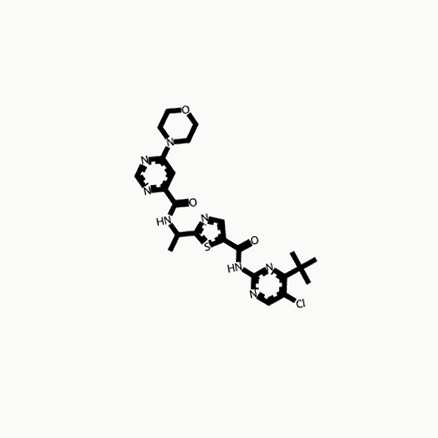 CC(NC(=O)c1cc(N2CCOCC2)ncn1)c1ncc(C(=O)Nc2ncc(Cl)c(C(C)(C)C)n2)s1